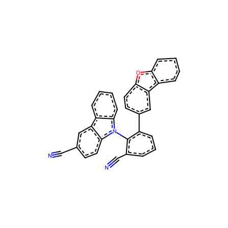 N#Cc1ccc2c(c1)c1ccccc1n2-c1c(C#N)cccc1-c1ccc2oc3ccccc3c2c1